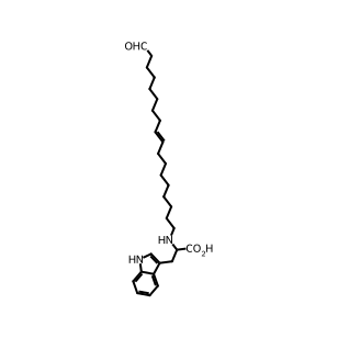 O=CCCCCCCCC=CCCCCCCCCNC(Cc1c[nH]c2ccccc12)C(=O)O